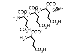 N[C@@H](CCC(=O)O)C(=O)[O-].N[C@@H](CCC(=O)O)C(=O)[O-].N[C@@H](CCC(=O)O)C(=O)[O-].N[C@@H](CCC(=O)O)C(=O)[O-].[Sr+2].[Sr+2]